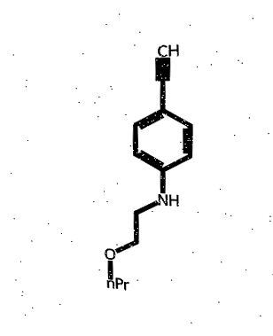 C#Cc1ccc(NCCOCCC)cc1